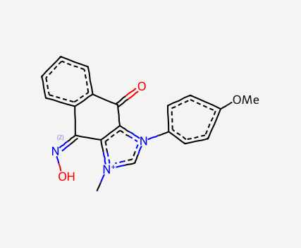 COc1ccc(-n2c[n+](C)c3c2C(=O)c2ccccc2/C3=N/O)cc1